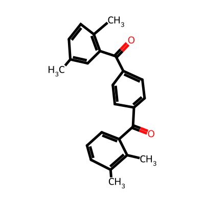 Cc1ccc(C)c(C(=O)c2ccc(C(=O)c3cccc(C)c3C)cc2)c1